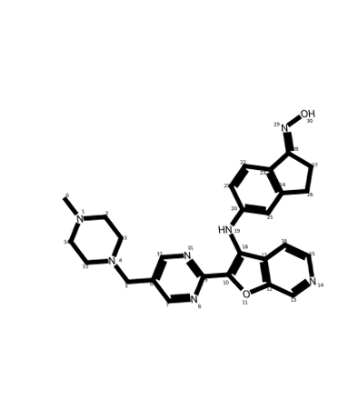 CN1CCN(Cc2cnc(-c3oc4cnccc4c3Nc3ccc4c(c3)CCC4=NO)nc2)CC1